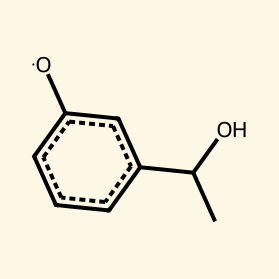 CC(O)c1cccc([O])c1